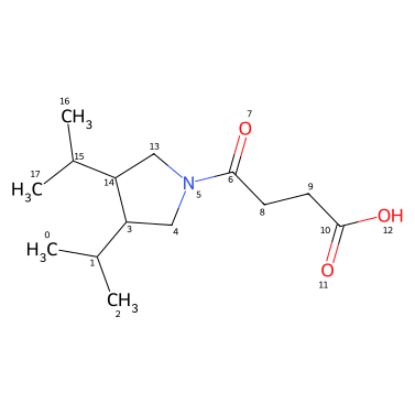 CC(C)C1CN(C(=O)CCC(=O)O)CC1C(C)C